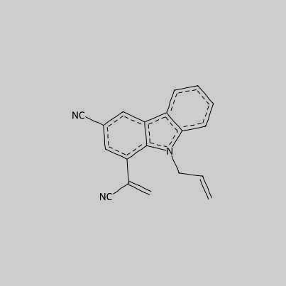 C=CCn1c2ccccc2c2cc(C#N)cc(C(=C)C#N)c21